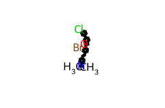 CN(C)c1ccc(C=Cc2ccc(-c3cc4ccc(-c5ccc(Cl)cc5)cc4o3)c(Br)c2)cc1